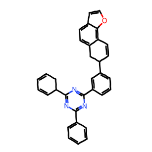 C1=CCC(c2nc(-c3ccccc3)nc(-c3cccc(C4C=Cc5c(ccc6ccoc56)C4)c3)n2)C=C1